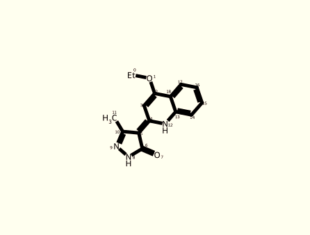 CCOC1=CC(=C2C(=O)NN=C2C)Nc2ccccc21